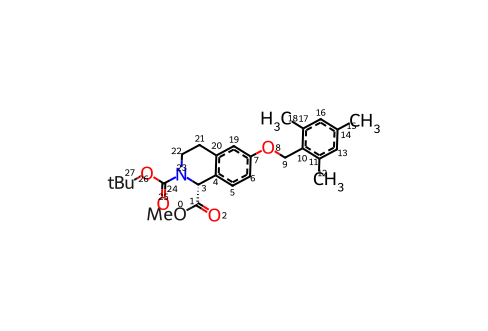 COC(=O)[C@H]1c2ccc(OCc3c(C)cc(C)cc3C)cc2CCN1C(=O)OC(C)(C)C